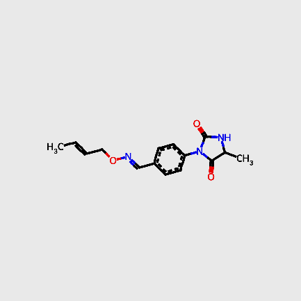 C/C=C/CON=Cc1ccc(N2C(=O)NC(C)C2=O)cc1